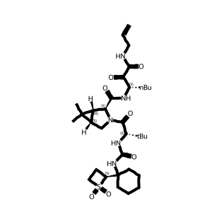 C=CCNC(=O)C(=O)[C@H](CCCC)NC(=O)[C@@H]1[C@@H]2[C@H](CN1C(=O)[C@@H](NC(=O)NC1([C@@H]3CCS3(=O)=O)CCCCC1)C(C)(C)C)C2(C)C